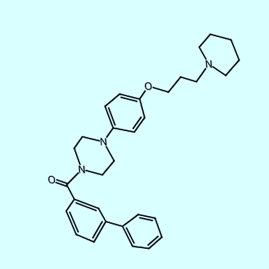 O=C(c1cccc(-c2ccccc2)c1)N1CCN(c2ccc(OCCCN3CCCCC3)cc2)CC1